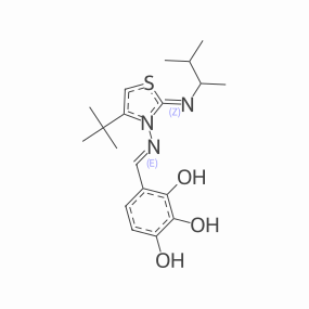 CC(C)C(C)/N=c1\scc(C(C)(C)C)n1/N=C/c1ccc(O)c(O)c1O